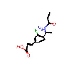 CCC(=O)NC(C)c1ccc(/C=C/C(=O)O)cc1F